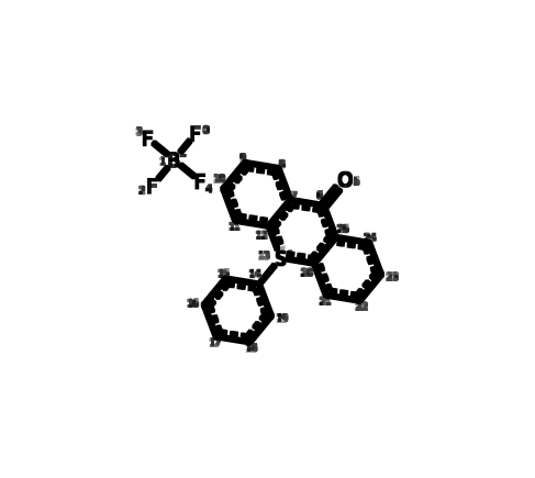 F[B-](F)(F)F.O=c1c2ccccc2[s+](-c2ccccc2)c2ccccc12